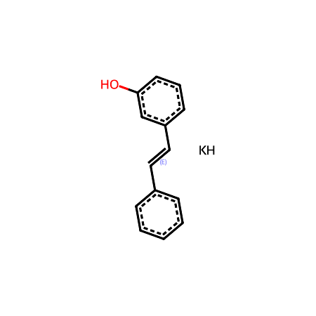 Oc1cccc(/C=C/c2ccccc2)c1.[KH]